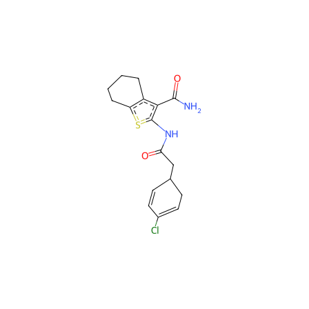 NC(=O)c1c(NC(=O)CC2C=CC(Cl)=CC2)sc2c1CCCC2